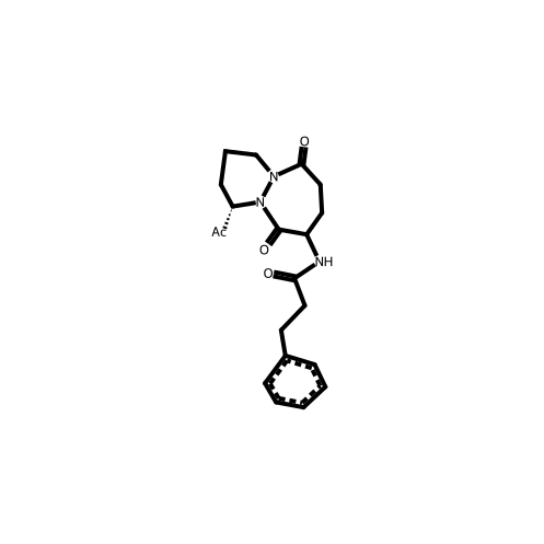 CC(=O)[C@@H]1CCCN2C(=O)CCC(NC(=O)CCc3ccccc3)C(=O)N12